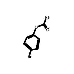 C[CH]C(=O)Oc1ccc(Br)cc1